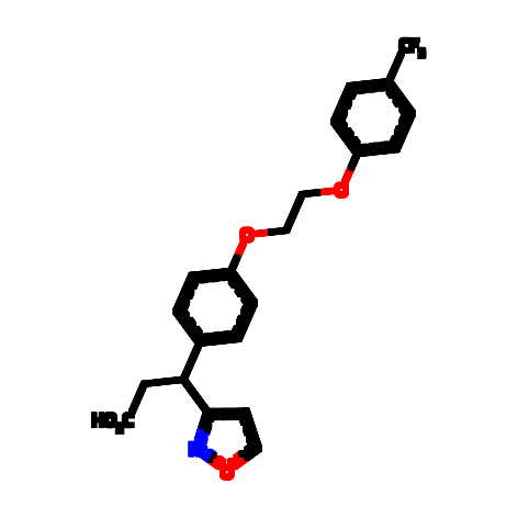 O=C(O)CC(c1ccc(OCCOc2ccc(C(F)(F)F)cc2)cc1)c1ccon1